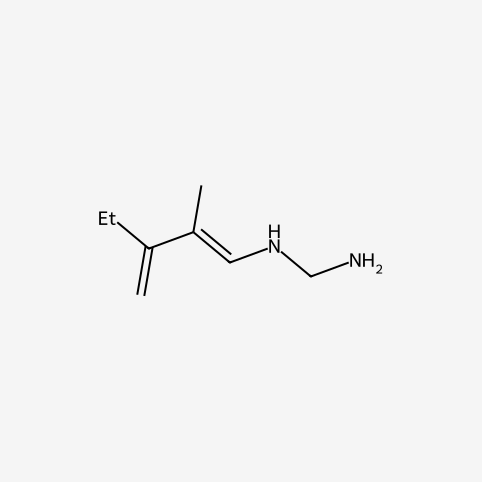 C=C(CC)/C(C)=C/NCN